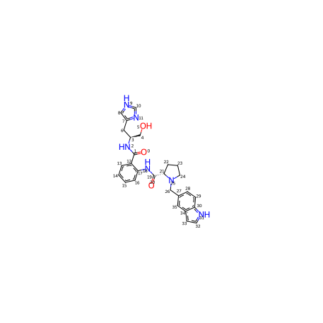 O=C(N[C@H](CO)Cc1c[nH]cn1)c1ccccc1NC(=O)[C@@H]1CCCN1Cc1ccc2[nH]ccc2c1